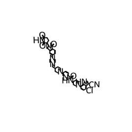 N#Cc1c[nH]c2c(N3CCC(NC(=O)c4ccc(N5CCC(CN6CCN(c7ccc8c(c7)CN(C7CCC(=O)NC7=O)C8=O)CC6)CC5)cn4)CC3)ccc(Cl)c12